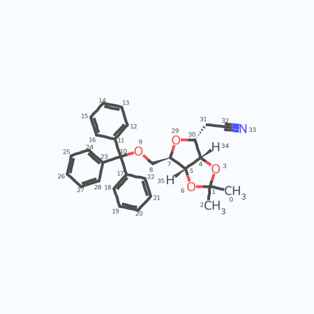 CC1(C)O[C@@H]2[C@H](O1)[C@@H](COC(c1ccccc1)(c1ccccc1)c1ccccc1)O[C@@H]2CC#N